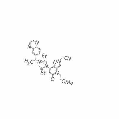 CC[C@H]1CN(C(C)c2ccc3nccnc3c2)[C@H](CC)CN1c1cc(=O)n(CCOC)c2cn(CC#N)nc12